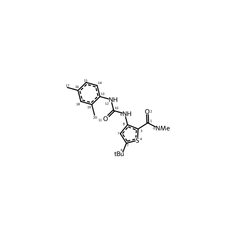 CNC(=O)c1sc(C(C)(C)C)cc1NC(=O)Nc1ccc(C)cc1C